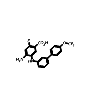 Nc1cc(F)c(C(=O)O)cc1Nc1cccc(-c2ccc(OC(F)(F)F)cc2)c1